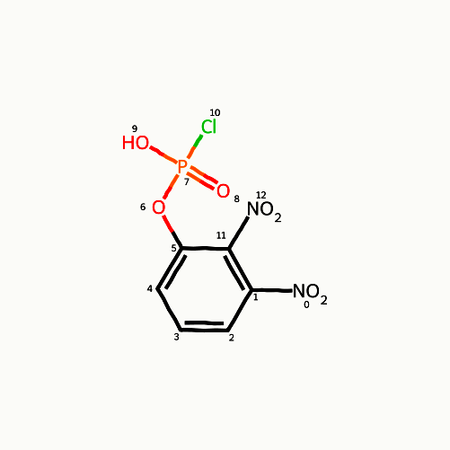 O=[N+]([O-])c1cccc(OP(=O)(O)Cl)c1[N+](=O)[O-]